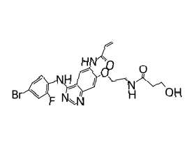 C=CC(=O)Nc1cc2c(Nc3ccc(Br)cc3F)ncnc2cc1OCCNC(=O)CCO